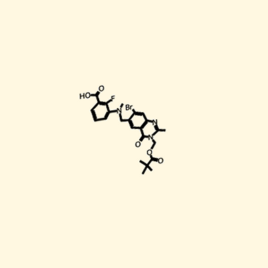 Cc1nc2cc(Br)c(CN(C)c3cccc(C(=O)O)c3F)cc2c(=O)n1COC(=O)C(C)(C)C